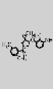 CO[C@@H]1CN(C(=O)c2cc(C)ccc2C)C[C@H]1Oc1cccc(N)c1C